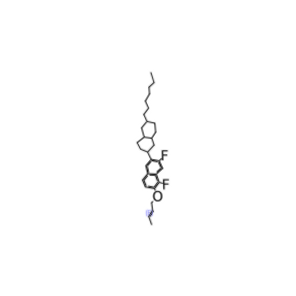 C/C=C/COc1ccc2cc(C3CCC4CC(CCCCCCC)CCC4C3)c(F)cc2c1F